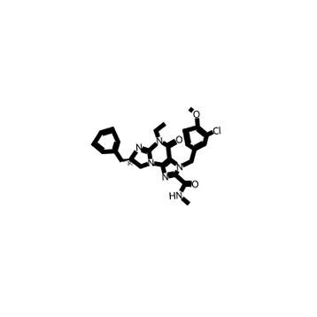 CCN1C(=O)c2c(nc(C(=O)NC)n2Cc2ccc(OC)c(Cl)c2)N2C[C@@H](Cc3ccccc3)N=C12